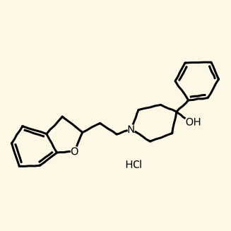 Cl.OC1(c2ccccc2)CCN(CCC2Cc3ccccc3O2)CC1